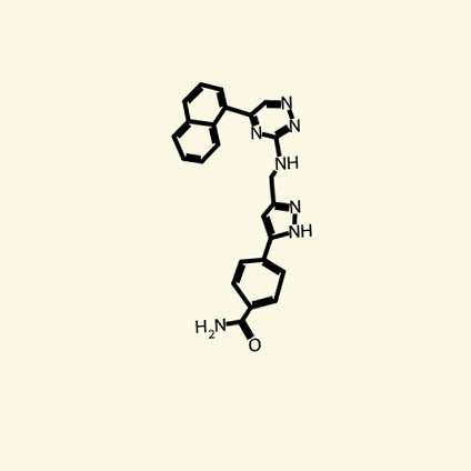 NC(=O)c1ccc(-c2cc(CNc3nncc(-c4cccc5ccccc45)n3)n[nH]2)cc1